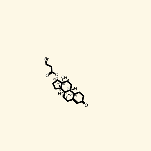 C[C@]12CC[C@H]3[C@@H](CCC4=CC(=O)CC[C@@]43C)[C@@H]1CC[C@@H]2OC(=O)CCBr